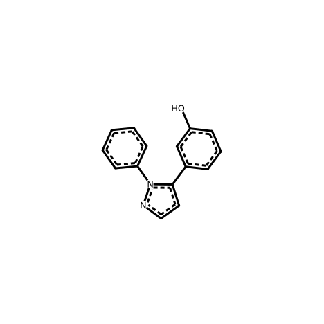 Oc1cccc(-c2ccnn2-c2ccccc2)c1